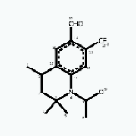 CC1CC(C)(C)N(C(C)Cl)c2cc(C(F)(F)F)c(C=O)cc21